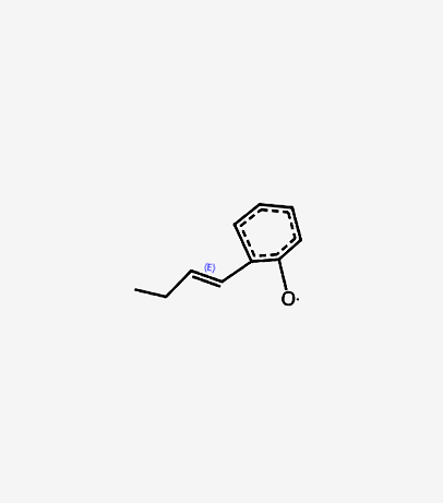 CC/C=C/c1ccccc1[O]